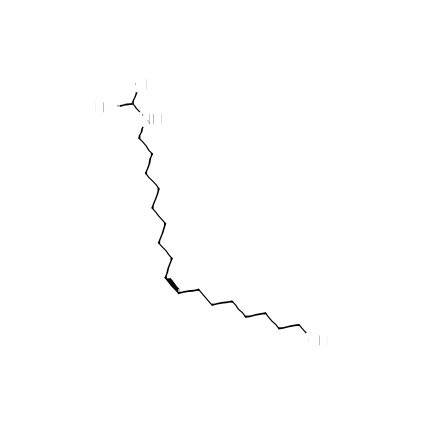 CCCCCCCC/C=C\CCCCCCCCNC(C)O